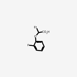 CCC(Oc1ccccc1F)C(=O)O